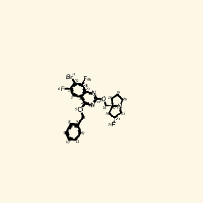 Fc1cc2c(OCc3ccccc3)nc(OC[C@@]34CCCN3C[C@H](F)C4)nc2c(F)c1Br